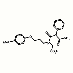 COc1ccc(OCCC[C@H](CC(=O)O)C(=O)N(C(N)=O)c2ccccc2)cc1